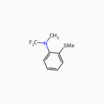 CSc1ccccc1N(C)C(F)(F)F